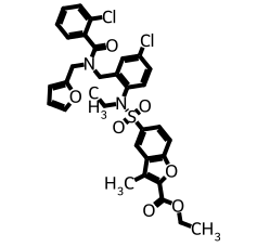 CCOC(=O)c1oc2ccc(S(=O)(=O)N(CC)c3ccc(Cl)cc3CN(Cc3ccco3)C(=O)c3ccccc3Cl)cc2c1C